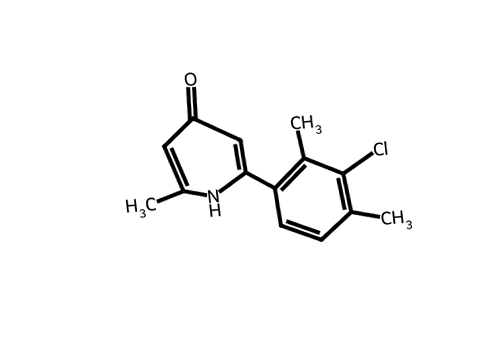 Cc1cc(=O)cc(-c2ccc(C)c(Cl)c2C)[nH]1